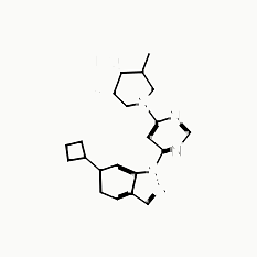 CC1CN(c2cc(-n3ncc4c3=CC(C3CCC3)CC=4)ncn2)C[C@H](C)[C@@H]1O